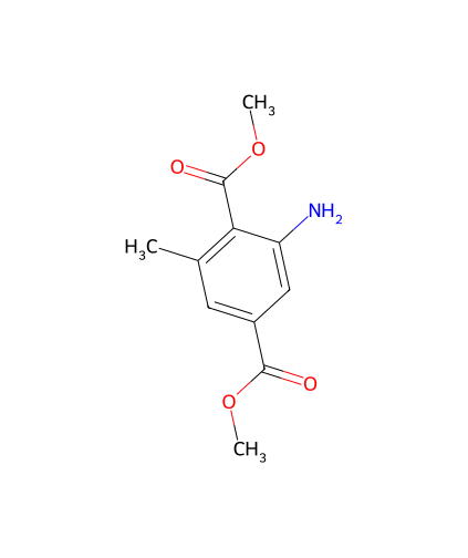 COC(=O)c1cc(C)c(C(=O)OC)c(N)c1